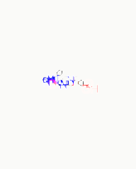 Cc1nc(Sc2ccc(C(=O)O)cc2)ccc1CN1CCC(N2C(=O)N(c3ccccn3)CC2c2ccccc2)CC1